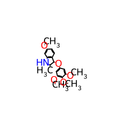 COc1ccc2c(c1)NC(C)C2Oc1cc(OC)c(OC)c(OC)c1